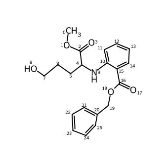 COC(=O)C(CCCO)Nc1ccccc1C(=O)OCc1ccccc1